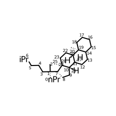 CCC[C@@](C)(CCCC(C)C)[C@H]1CC[C@H]2[C@@H]3CCC4CCCC[C@]4(C)[C@H]3CC[C@]12C